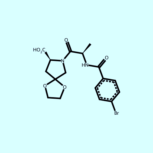 C[C@@H](NC(=O)c1ccc(Br)cc1)C(=O)N1CC2(C[C@H]1C(=O)O)OCCO2